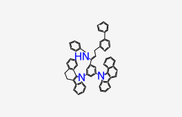 C(/Cc1cccc(-c2ccccc2)c1)=C(/NCc1ccccc1)c1cc(-n2c3c(c4ccccc42)CCc2ccccc2-3)cc(-n2c3ccccc3c3ccc4ccccc4c32)c1